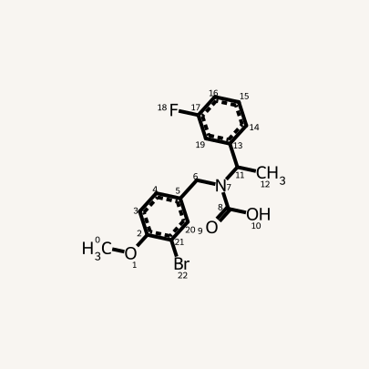 COc1ccc(CN(C(=O)O)C(C)c2cccc(F)c2)cc1Br